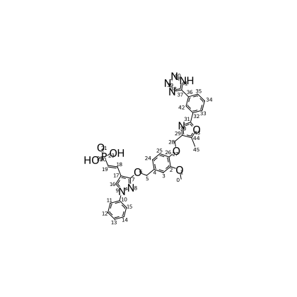 COc1cc(COc2nn(-c3ccccc3)cc2C=CP(=O)(O)O)ccc1OCc1nc(-c2cccc(-c3nnn[nH]3)c2)oc1C